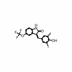 O=C1Nc2ccc(OC(F)(F)F)cc2/C1=C/c1cc(I)c(O)c(I)c1